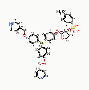 Cc1ccc(S(=O)(=O)[O-])cc1.c1cc(COc2ccc([S+](c3ccc(OCc4ccncc4)cc3)c3ccc(OC4CCCO4)cc3)cc2)ccn1